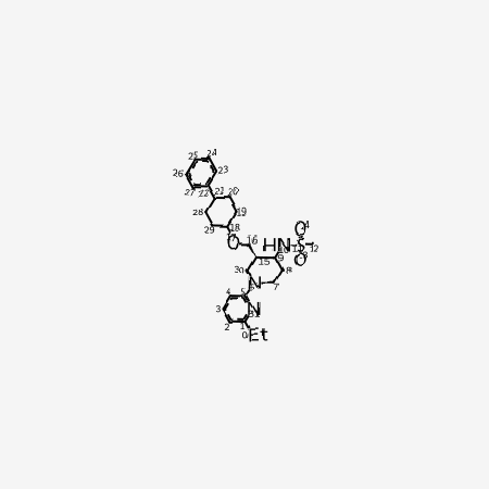 CCc1cccc(N2CCC(NS(C)(=O)=O)[C@H](COC3CCC(c4ccccc4)CC3)C2)n1